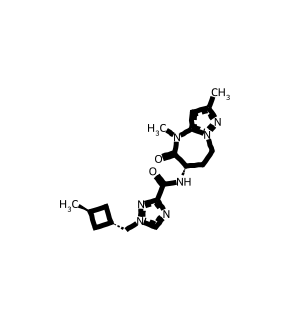 Cc1cc2n(n1)CC[C@H](NC(=O)c1ncn(C[C@H]3C[C@H](C)C3)n1)C(=O)N2C